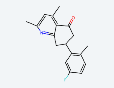 Cc1cc(C)c2c(n1)CC(c1cc(F)ccc1C)CC2=O